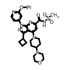 CC(C)Oc1cc(-n2nc(C3CCC3)c3c(N4CCC(N5CCOCC5)CC4)cc(C(=O)NS(C)(=O)=O)nc32)ccn1